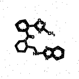 Cc1noc(-c2ccccc2C(=O)N2CCCCC2CNc2nc3ccccc3s2)n1